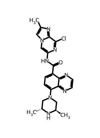 Cc1cn2cc(NC(=O)c3ccc(N4C[C@@H](C)N[C@H](C)C4)c4nccnc34)nc(Cl)c2n1